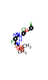 CCS(=O)(=O)C(C)OCc1nc(-c2cc3c(Nc4ccc(OCc5cccc(F)c5)c(Cl)c4)ncnc3cc2F)cs1